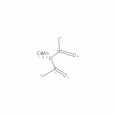 CC(=O)OC(C)=O.[Co].[Mn]